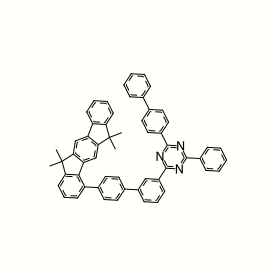 CC1(C)c2ccccc2-c2cc3c(cc21)-c1c(-c2ccc(-c4cccc(-c5nc(-c6ccccc6)nc(-c6ccc(-c7ccccc7)cc6)n5)c4)cc2)cccc1C3(C)C